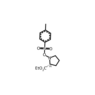 CCOC(=O)[C@H]1CCCN1OS(=O)(=O)c1ccc(C)cc1